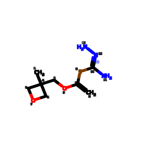 C=C(OCC1(C)COC1)S/C(N)=N\N